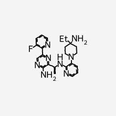 C=C(Nc1ncccc1N1CCC(N)(CC)CC1)c1nc(-c2ncccc2F)cnc1N